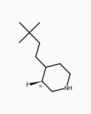 CC(C)(C)CCC1CCNC[C@H]1F